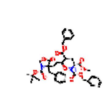 COC(=O)[C@H](CC(C(=O)CCC1(Cc2ccccc2)C(=O)OCN1C(=O)OC(C)(C)C)C(=O)OCc1ccccc1)NC(=O)OCc1ccccc1